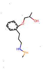 CPNCCCc1ccccc1OCC(C)O